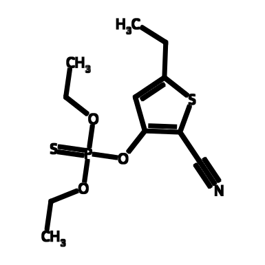 CCOP(=S)(OCC)Oc1cc(CC)sc1C#N